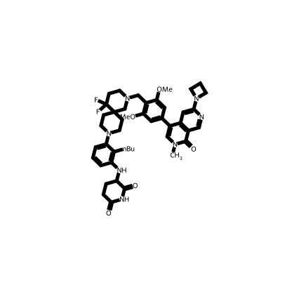 CCCCc1c(NC2CCC(=O)NC2=O)cccc1N1CCC2(CC1)CN(Cc1c(OC)cc(-c3cn(C)c(=O)c4cnc(N5CCC5)cc34)cc1OC)CCC2(F)F